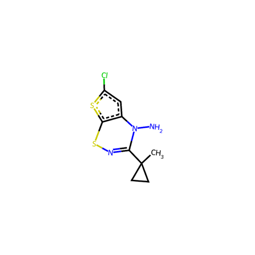 CC1(C2=NSc3sc(Cl)cc3N2N)CC1